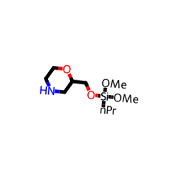 CCC[Si](OC)(OC)OCC1CNCCO1